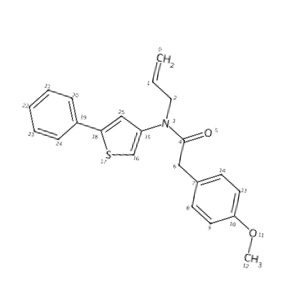 C=CCN(C(=O)Cc1ccc(OC)cc1)c1csc(-c2ccccc2)c1